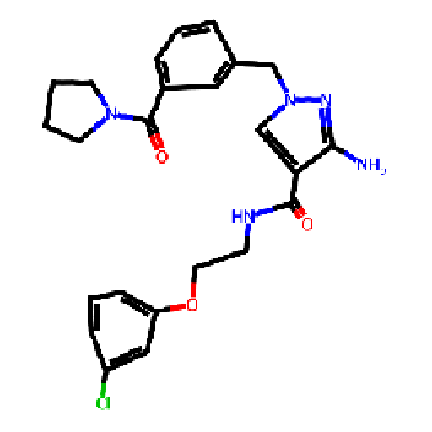 Nc1nn(Cc2cccc(C(=O)N3CCCC3)c2)cc1C(=O)NCCOc1cccc(Cl)c1